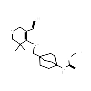 CC(C)(C)OC(=O)NC12CCC(CNC3=C(C=N)CNCC3(C)C)(CC1)CC2